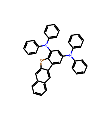 c1ccc(N(c2ccccc2)c2cc(N(c3ccccc3)c3ccccc3)c3sc4cc5ccccc5cc4c3c2)cc1